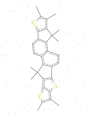 Cc1sc2c(c1C)C(C)(C)c1c-2ccc2c3c(ccc12)-c1sc2c(C)c(C)sc2c1C3(C)C